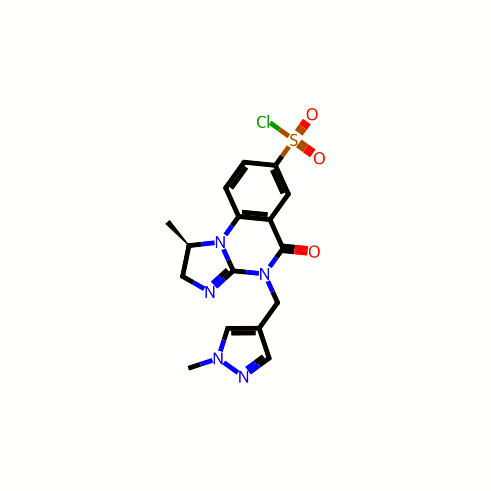 C[C@@H]1CN=C2N(Cc3cnn(C)c3)C(=O)c3cc(S(=O)(=O)Cl)ccc3N21